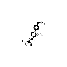 C[C@H]1CN(C(=O)OC(C)(C)C)CCN1c1ccc(C(N)=O)cn1